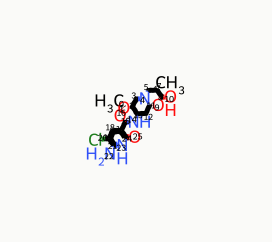 CO[C@@H]1CN(CC(C)C(=O)O)CC[C@@H]1NC(=O)c1cc(Cl)c(N)[nH]c1=O